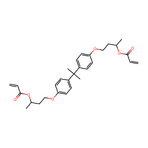 C=CC(=O)OC(C)CCOc1ccc(C(C)(C)c2ccc(OCCC(C)OC(=O)C=C)cc2)cc1